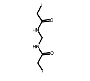 O=C(CI)NCNC(=O)CI